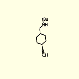 C#C[C@H]1CC[C@H](CNC(C)(C)C)CC1